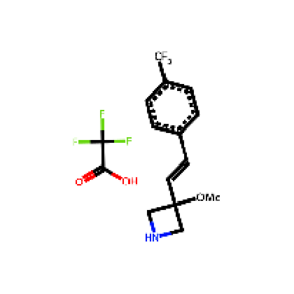 COC1(C=Cc2ccc(C(F)(F)F)cc2)CNC1.O=C(O)C(F)(F)F